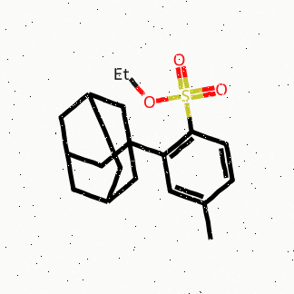 CCOS(=O)(=O)c1ccc(C)cc1C12CC3CC(CC(C3)C1)C2